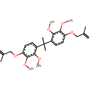 C=C(C)COc1ccc(C(C)(C)c2ccc(OCC(=C)C)c(OCCC)c2OCCC)c(OCCC)c1OCCC